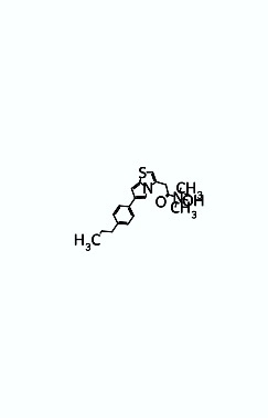 CCCc1ccc(-c2cc3scc(CC(=O)[N+](C)(C)O)n3c2)cc1